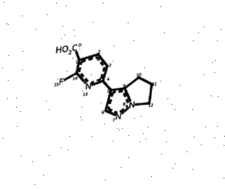 O=C(O)c1ccc(-c2cnn3c2CCC3)nc1F